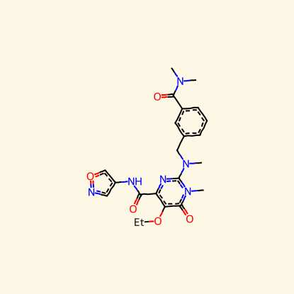 CCOc1c(C(=O)Nc2cnoc2)nc(N(C)Cc2cccc(C(=O)N(C)C)c2)n(C)c1=O